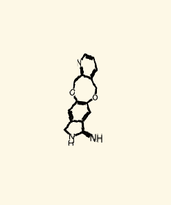 N=C1NCc2cc3c(cc21)OCc1cccnc1CO3